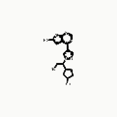 N#CCC(C1CCC(O)C1)n1cc(-c2ncnc3[nH]c(O)cc23)cn1